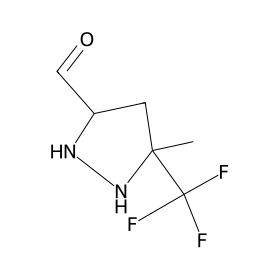 CC1(C(F)(F)F)CC(C=O)NN1